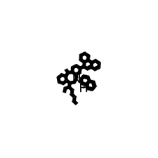 CCCCCC(CC)C1CN(C2C=CC3C=CC=C[C@H]3C2)C2CC(C3C=C4C=CCCC4C4CCCCC34)CCC2C(C)C2CCCCC12